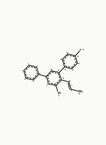 CC(C)c1nc(-c2ccccc2)cc(-c2ccc(F)cc2)c1/C=C/C(C)(C)C